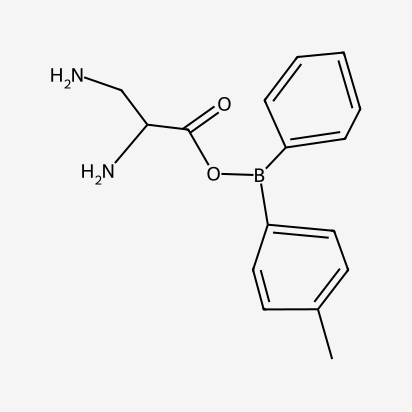 Cc1ccc(B(OC(=O)C(N)CN)c2ccccc2)cc1